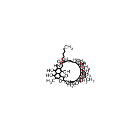 C=CCCCCO/N=C/c1c2c(O)c3c(O)c(C)c4c(c3c1O)C(=O)[C@@](C)(O/C=C/[C@H](OC)[C@@H](C)[C@@H](OC(C)=O)[C@H](C)[C@H](O)[C@H](C)[C@@H](O)[C@@H](C)/C=C/C=C(/C)C(=O)N2)O4